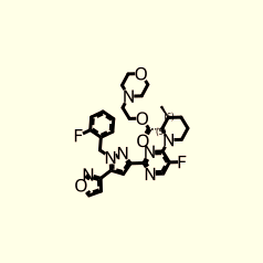 C[C@H]1CCCN(c2nc(-c3cc(-c4ccon4)n(Cc4ccccc4F)n3)ncc2F)[C@@H]1C(=O)OCCN1CCOCC1